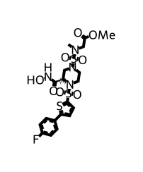 COC(=O)CN(C)S(=O)(=O)N1CCN(S(=O)(=O)c2ccc(-c3ccc(F)cc3)s2)[C@@H](C(=O)NO)C1